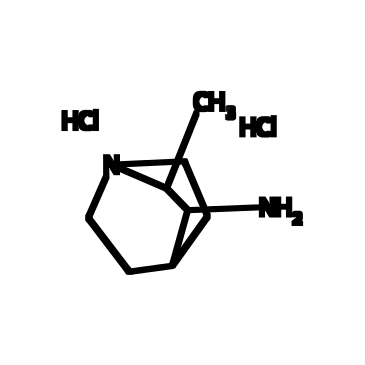 CC1C(N)C2CCN1CC2.Cl.Cl